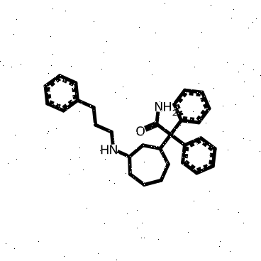 NC(=O)C(c1ccccc1)(c1ccccc1)C1CCCCC(NCCCc2ccccc2)C1